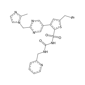 Cc1nccn1Cc1ncc(-c2cc(CC(C)C)sc2S(=O)(=O)NC(=O)NCc2ccccn2)cn1